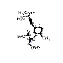 CCCS(C)(C)C#Cc1ccc(C)c(O/C(=C\OC)C(=O)OC)c1